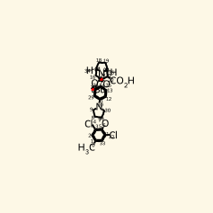 Cc1cc(Cl)c(O[C@@H]2CCN(c3ccc([C@@H]4C[C@H]5CC[C@@H](C4C(=O)O)N5C(=O)OC(C)(C)C)cc3)C2)c(Cl)c1